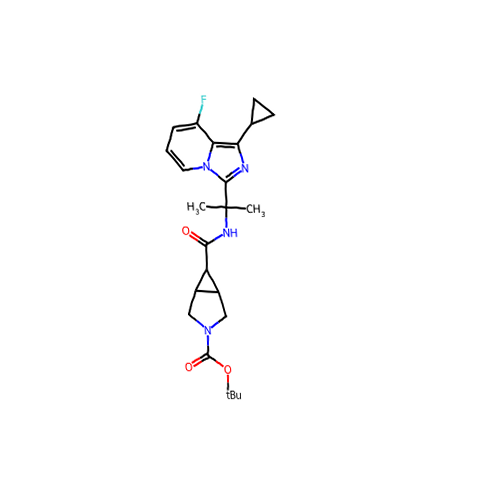 CC(C)(C)OC(=O)N1CC2C(C1)C2C(=O)NC(C)(C)c1nc(C2CC2)c2c(F)cccn12